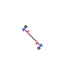 O=C(CCn1ccnc1-c1ccccc1)OCCCCCCCCCCOC(=O)CCn1ccnc1-c1ccccc1